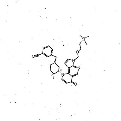 C[C@@H]1CCN(Cc2cccc(C#N)c2)C[C@@H]1n1ccc(=O)c2cnc3c(ccn3COCC[Si](C)(C)C)c21